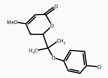 COC1=CC(=O)OC(C(C)(C)Oc2ccc(Cl)cc2)C1